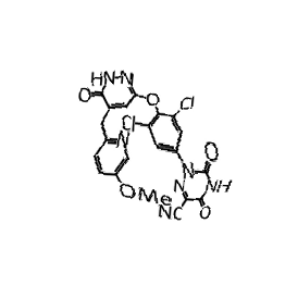 COc1ccc(Cc2cc(Oc3c(Cl)cc(-n4nc(C#N)c(=O)[nH]c4=O)cc3Cl)n[nH]c2=O)nc1